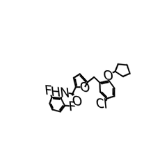 O=C(Nc1c(F)cccc1F)c1ccc(Cc2cc(Cl)ccc2OC2CCCC2)o1